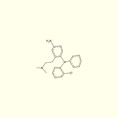 CN(C)CCc1cc(N)ccc1N(c1ccccc1)c1ccccc1Cl